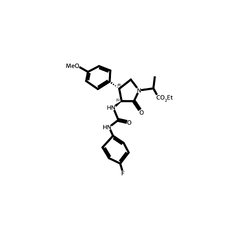 CCOC(=O)C(C)N1C[C@@H](c2ccc(OC)cc2)[C@H](NC(=O)Nc2ccc(F)cc2)C1=O